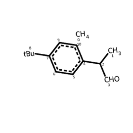 C.CC(C=O)c1ccc(C(C)(C)C)cc1